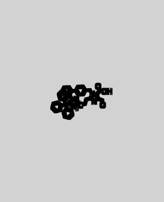 CCCc1nc(C=O)c(C(=O)O)n1Cc1ccc(-c2ccccc2-c2nnnn2C(c2ccccc2)(c2ccccc2)c2ccccc2)cc1